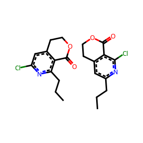 CCCc1cc2c(c(Cl)n1)C(=O)OCC2.CCCc1nc(Cl)cc2c1C(=O)OCC2